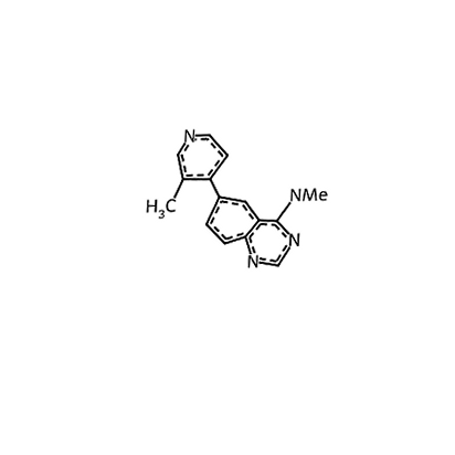 CNc1ncnc2ccc(-c3ccncc3C)cc12